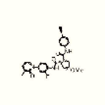 C#Cc1ccc(NC(=O)N2C[C@H](OC)C[C@@H]2C(=O)Nc2ccc(-n3cccc(C)c3=O)cc2F)cc1